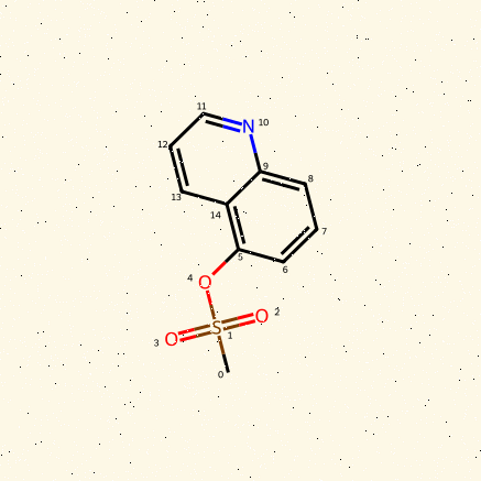 CS(=O)(=O)Oc1cccc2ncccc12